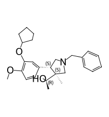 COc1ccc([C@@H]2CN(Cc3ccccc3)C[C@@]2(C)[C@@H](C)O)cc1OC1CCCC1